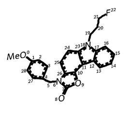 COc1ccc(Cn2c(=O)oc3c4c5ccccc5n(CCCF)c4ccc32)cc1